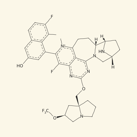 Cc1c(F)ccc2cc(O)cc(-c3c(F)c4nc(OC[C@@]56CCCN5C[C@@H](OC(F)(F)F)C6)nc5c4c([n+]3C)CC[C@@H]3[C@@H]4CC[C@H](CN53)N4)c12